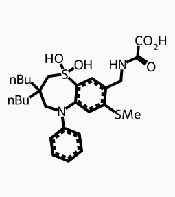 CCCCC1(CCCC)CN(c2ccccc2)c2cc(SC)c(CNC(=O)C(=O)O)cc2S(O)(O)C1